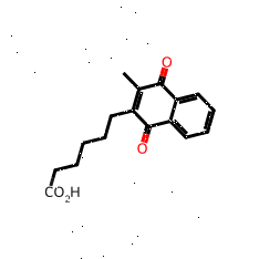 CC1=C(CCCCCC(=O)O)C(=O)c2ccccc2C1=O